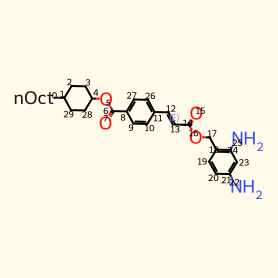 CCCCCCCCC1CCC(OC(=O)c2ccc(/C=C/C(=O)OCc3ccc(N)cc3N)cc2)CC1